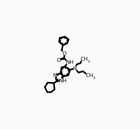 CCCN(CCC)c1cc2[nH]c(C3CCCCC3)nc2cc1NC(=O)OCc1ccccc1